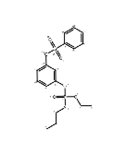 CCCSP(=O)(OCC)Oc1cccc(OS(=O)(=O)c2ccccc2)c1